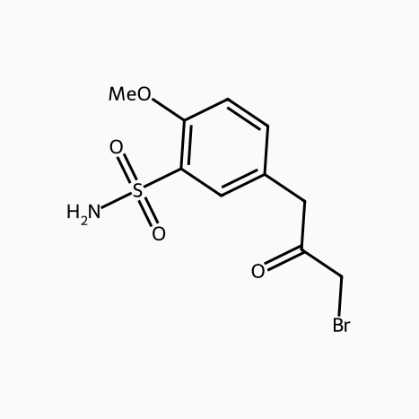 COc1ccc(CC(=O)CBr)cc1S(N)(=O)=O